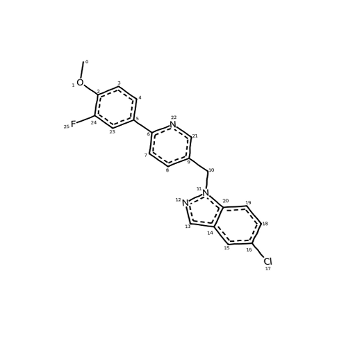 COc1ccc(-c2ccc(Cn3ncc4cc(Cl)ccc43)cn2)cc1F